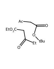 CC(=O)CC(=O)OC(C)(C)C.CCOC(=O)CC(=O)CC